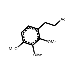 COc1ccc(CCC(C)=O)c(OC)c1OC